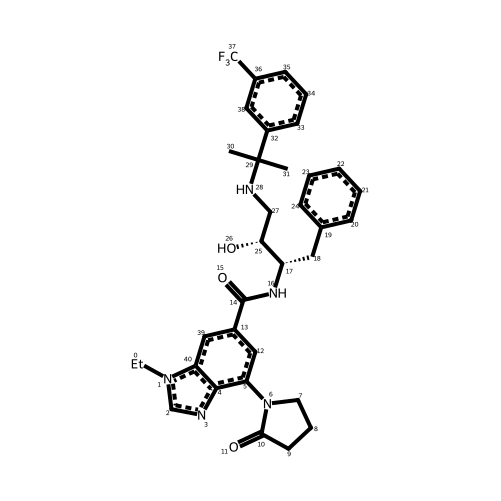 CCn1cnc2c(N3CCCC3=O)cc(C(=O)N[C@@H](Cc3ccccc3)[C@H](O)CNC(C)(C)c3cccc(C(F)(F)F)c3)cc21